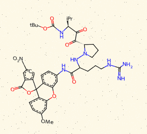 COc1ccc2c(c1)Oc1cc(NC(=O)C(CCCNC(=N)N)NN3CCC[C@H]3C(=O)C(=O)[C@@H](NC(=O)OC(C)(C)C)C(C)C)ccc1C21OC(=O)c2cc([N+](=O)[O-])ccc21